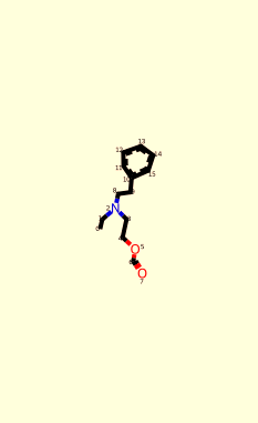 CCN(CCOC=O)CCc1ccccc1